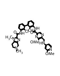 COc1cc(NCc2ncc(C(=O)Nc3cccc(-c4cccc(NC(=O)c5nc6c(n5C)CCN(C)C6)c4Cl)c3C)nc2OC)ccn1